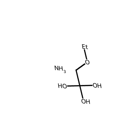 CCOCC(O)(O)O.N